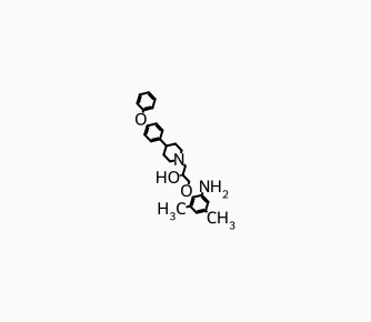 Cc1cc(C)c(OC[C@@H](O)CN2CCC(c3ccc(Oc4ccccc4)cc3)CC2)c(N)c1